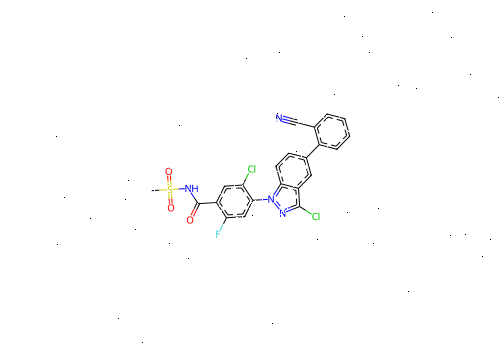 CS(=O)(=O)NC(=O)c1cc(Cl)c(-n2nc(Cl)c3cc(-c4ccccc4C#N)ccc32)cc1F